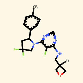 CCC1(CNc2ncnc(N3CC(F)(F)CC3c3ccc(C(F)(F)F)cc3)c2F)COC1